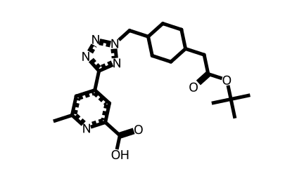 Cc1cc(-c2nnn(CC3CCC(CC(=O)OC(C)(C)C)CC3)n2)cc(C(=O)O)n1